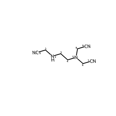 N#CCNCCN(CC#N)CC#N